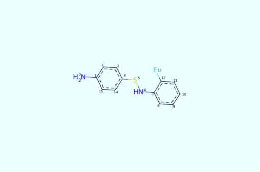 Nc1ccc(SNc2ccccc2F)cc1